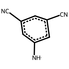 N#Cc1cc([NH])cc(C#N)c1